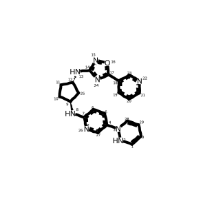 C1=CNN(c2ccc(N[C@H]3CC[C@H](Nc4noc(-c5cccnc5)n4)C3)nc2)C=C1